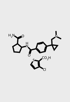 CN(C)CC1(c2ccc(C(=O)NC3CCCC3C(N)=O)cc2)CC1.O=C(O)c1sccc1Cl